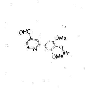 COc1cc(-c2cc(C=O)ccn2)cc(OC)c1OC(C)C